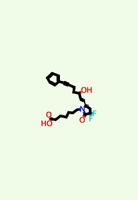 O=C(O)CCCCCCN1C(=O)C(F)(F)C[C@@H]1C=CC(O)CCC#Cc1ccccc1